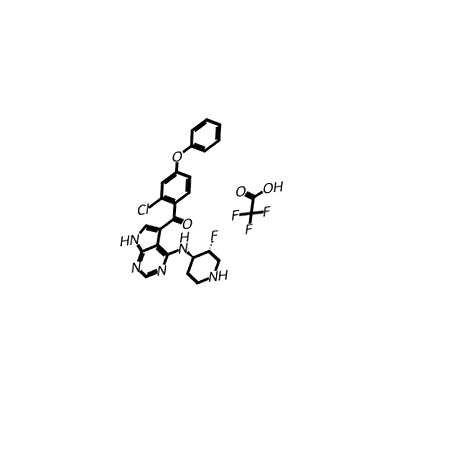 O=C(O)C(F)(F)F.O=C(c1ccc(Oc2ccccc2)cc1Cl)c1c[nH]c2ncnc(N[C@@H]3CCNC[C@H]3F)c12